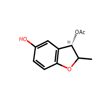 CC(=O)O[C@H]1c2cc(O)ccc2OC1C